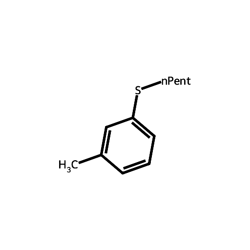 [CH2]CCCCSc1cccc(C)c1